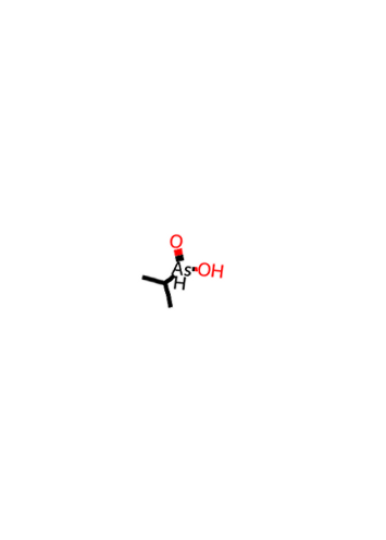 CC(C)[AsH](=O)O